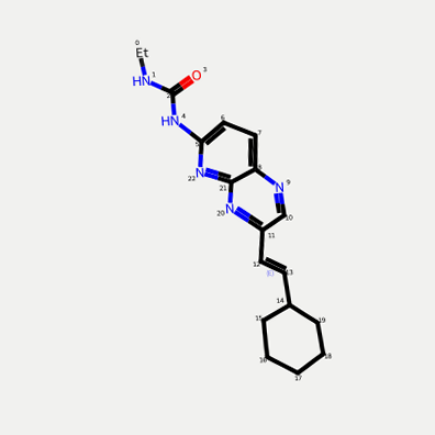 CCNC(=O)Nc1ccc2ncc(/C=C/C3CCCCC3)nc2n1